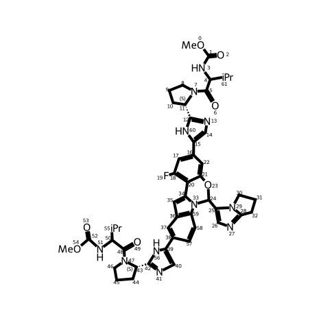 COC(=O)NC(C(=O)N1CCC[C@H]1c1ncc(-c2cc(F)c3c(c2)OC(c2cnc4n2CCC4)n2c-3cc3cc(-c4cnc([C@@H]5CCCN5C(=O)C(NC(=O)OC)C(C)C)[nH]4)ccc32)[nH]1)C(C)C